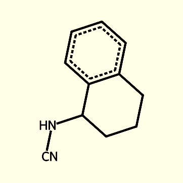 N#CNC1CCCc2ccccc21